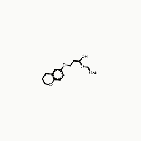 COCOC(O)CCOc1ccc2c(c1)CCCO2